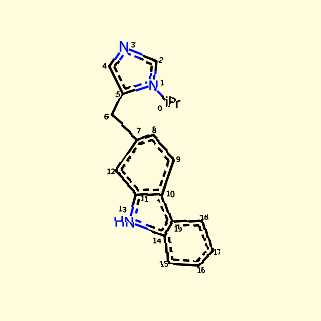 CC(C)n1cncc1Cc1ccc2c(c1)[nH]c1ccccc12